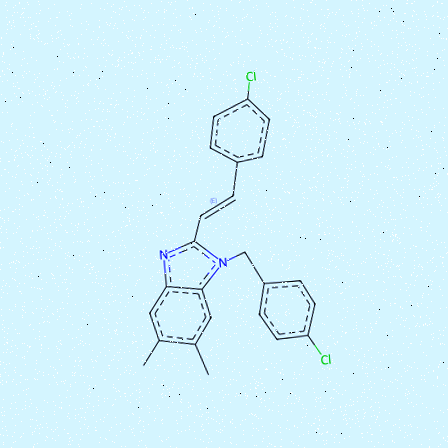 Cc1cc2nc(/C=C/c3ccc(Cl)cc3)n(Cc3ccc(Cl)cc3)c2cc1C